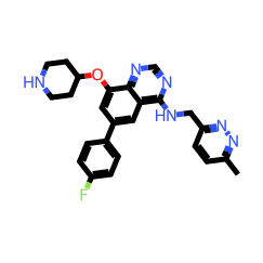 Cc1ccc(CNc2ncnc3c(OC4CCNCC4)cc(-c4ccc(F)cc4)cc23)nn1